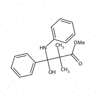 COC(=O)C(C)(C)C(O)(Nc1ccccc1)c1ccccc1